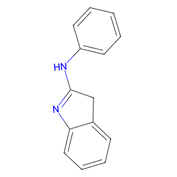 c1ccc(NC2=Nc3ccccc3C2)cc1